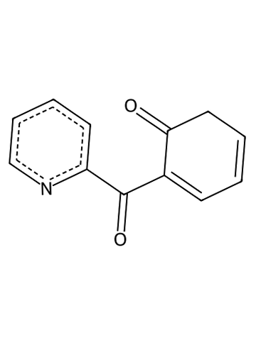 O=C1CC=CC=C1C(=O)c1ccccn1